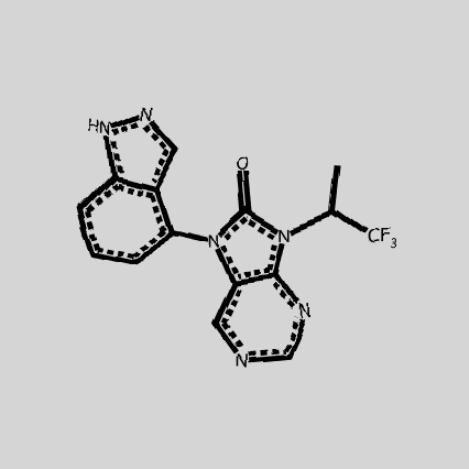 CC(n1c(=O)n(-c2cccc3[nH]ncc23)c2cncnc21)C(F)(F)F